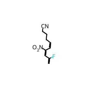 C=C(F)/C=C(\C=C/CCCC#N)[N+](=O)[O-]